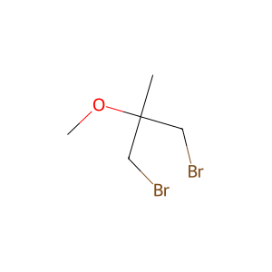 COC(C)(CBr)CBr